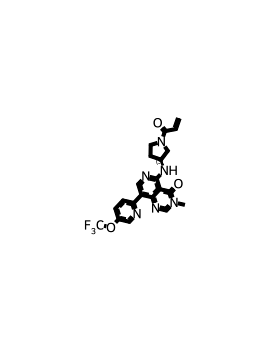 C=CC(=O)N1CC[C@H](Nc2ncc(-c3ccc(OC(F)(F)F)cn3)c3ncn(C)c(=O)c23)C1